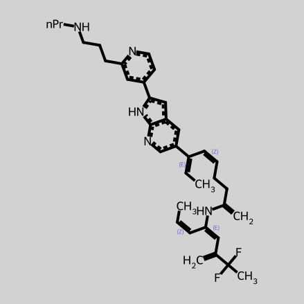 C=C(CC/C=C\C(=C/C)c1cnc2[nH]c(-c3ccnc(CCCNCCC)c3)cc2c1)NC(/C=C\C)=C/C(=C)C(C)(F)F